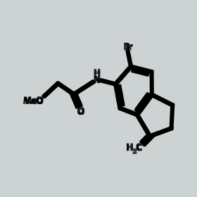 C=C1CCc2cc(Br)c(NC(=O)COC)cc21